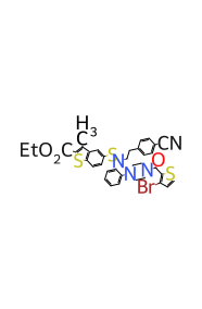 CCOC(=O)c1sc2ccc(SN(CCc3ccc(C#N)cc3)c3ccccc3N3CCN(C(=O)c4sccc4Br)CC3)cc2c1C